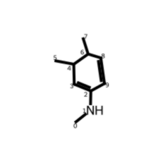 CNC1=CC(C)C(C)C=C1